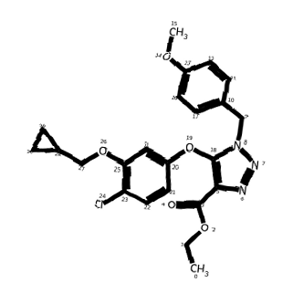 CCOC(=O)c1nnn(Cc2ccc(OC)cc2)c1Oc1ccc(Cl)c(OCC2CC2)c1